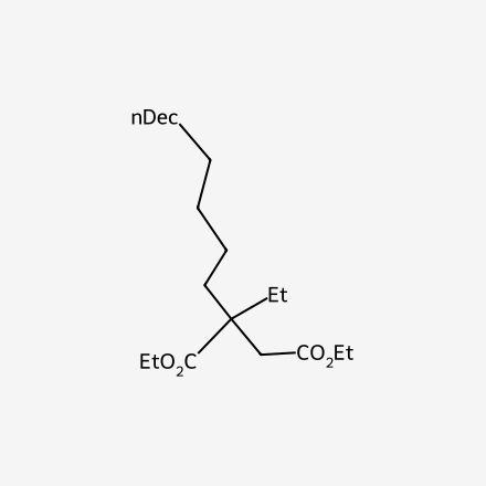 CCCCCCCCCCCCCCC(CC)(CC(=O)OCC)C(=O)OCC